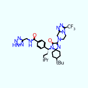 CC(C)CC[C@H](c1ccc(C(=O)NCc2nn[nH]n2)cc1)N1C(=O)C(N2CCn3c(nnc3C(F)(F)F)C2)=NC12CCC(C(C)(C)C)CC2